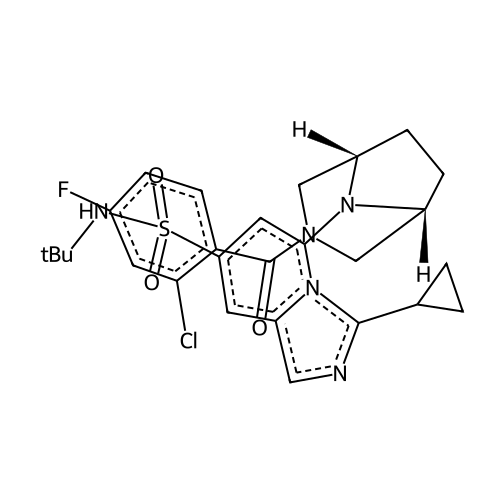 CC(C)(C)NS(=O)(=O)c1cc(N2[C@@H]3CC[C@H]2CN(C(=O)c2ccc(F)cc2Cl)C3)n2c(C3CC3)ncc2c1